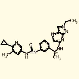 CCn1cc2ncc(N[C@@H](C)c3cccc(NC(=O)Nc4cnc(C5CC5)c(C)c4)c3)nc2n1